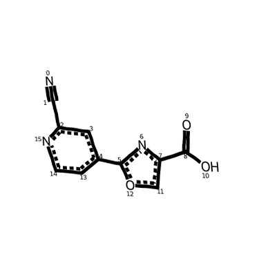 N#Cc1cc(-c2nc(C(=O)O)co2)ccn1